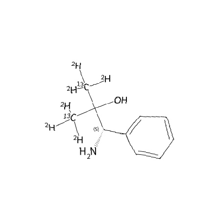 [2H][13C]([2H])([2H])C(O)([C@@H](N)c1ccccc1)[13C]([2H])([2H])[2H]